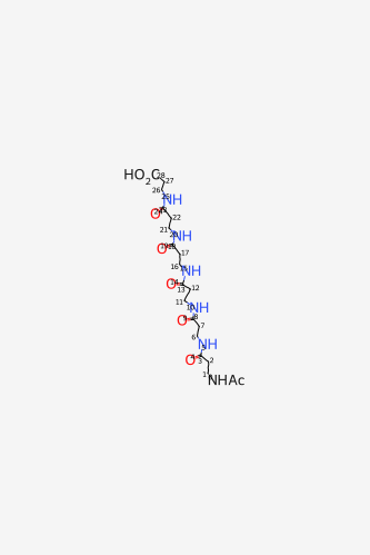 CC(=O)NCCC(=O)NCCC(=O)NCCC(=O)NCCC(=O)NCCC(=O)NCCC(=O)O